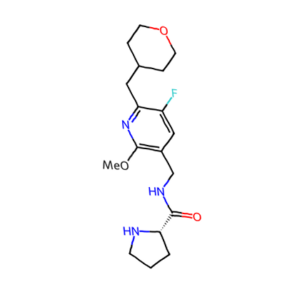 COc1nc(CC2CCOCC2)c(F)cc1CNC(=O)[C@@H]1CCCN1